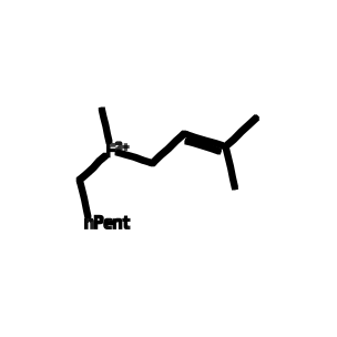 CCCCCC[F+2](C)CC=C(C)C